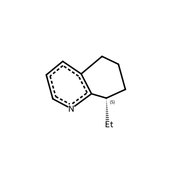 CC[C@H]1CCCc2cccnc21